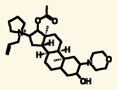 C=CC[N+]1(C2C[C@H]3[C@@H]4CCC5CC(O)C(N6CCOCC6)C[C@]5(C)[C@@H]4CC[C@]3(C)C2OC(C)=O)CCCC1